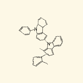 Cc1ccccc1-c1ccc2c3ccccc3n(-c3ccc4c(c3)C3C=CC=CC3N4c3ccccc3)c2c1C